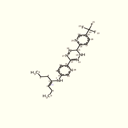 CC/C=C(/CCC)Nc1ccc(C2=NNC(c3ccc(C(F)(F)F)cn3)N=N2)nc1